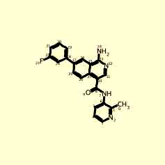 Cc1ncccc1NC(=O)c1cnc(N)c2cc(-c3cccc(F)c3)ccc12